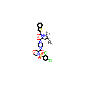 CC(C)C[C@H](NC(=O)c1cc2ccccc2s1)C(=O)N1CCN(C(=O)C2COCCN2S(=O)(=O)c2ccc(Cl)cc2Cl)CC1